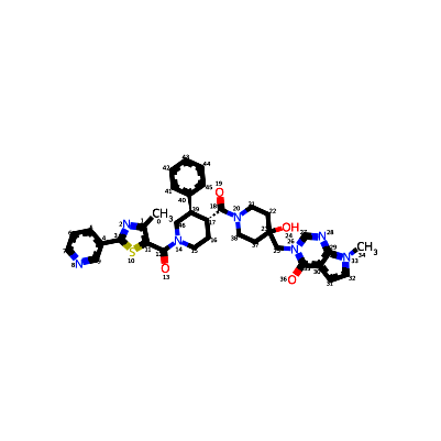 Cc1nc(-c2cccnc2)sc1C(=O)N1CC[C@@H](C(=O)N2CCC(O)(Cn3cnc4c(ccn4C)c3=O)CC2)[C@H](c2ccccc2)C1